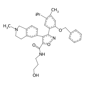 Cc1cc(OCc2ccccc2)c(-c2noc(C(=O)NCCCO)c2-c2ccc3c(c2)CCN(C)C3)cc1C(C)C